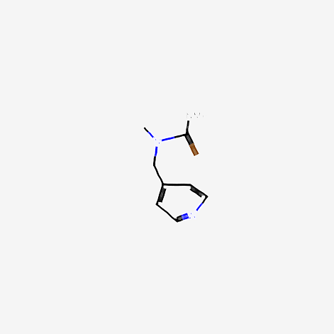 CNC(=S)N(C)Cc1ccncc1